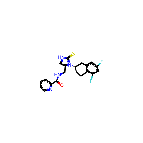 O=C(NCc1c[nH]c(=S)n1[C@H]1CCc2c(F)cc(F)cc2C1)c1ccccn1